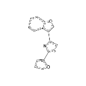 c1coc(-c2nc(-c3coc4ccccc34)cs2)c1